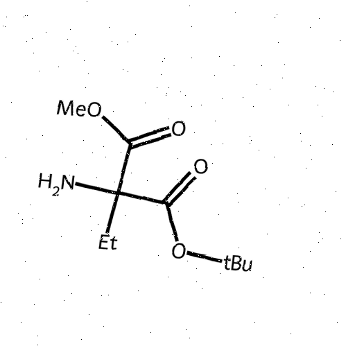 CCC(N)(C(=O)OC)C(=O)OC(C)(C)C